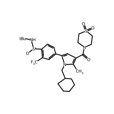 Cc1c(C(=O)N2CCS(=O)(=O)CC2)cc(-c2ccc([S+]([O-])NC(C)(C)C)c(C(F)(F)F)c2)n1CC1CCCCC1